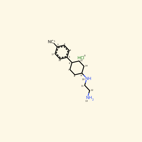 Cl.N#Cc1ccc(C2CCC(NCCN)CC2)cc1